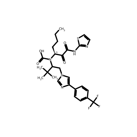 CCCC[C@@H](C(=O)C(=O)Nc1nccs1)N(C(=O)O)C(Cn1cnc(-c2ccc(C(F)(F)F)cc2)c1)C(C)(C)C